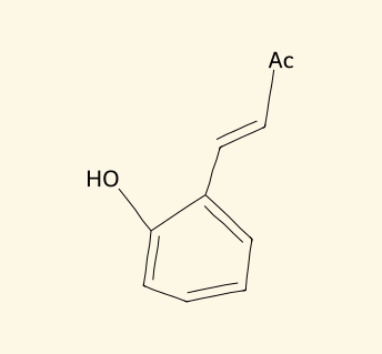 CC(=O)C=Cc1ccccc1O